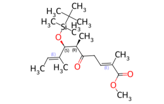 C/C=C(\C)[C@@H](O[Si](C)(C)C(C)(C)C)[C@@H](C)C(=O)C/C=C(\C)C(=O)OC